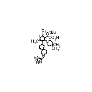 Cc1nc(C)c(C(OC(C)(C)C)C(=O)O)c(N2CCC(C)(C)CC2)c1-c1ccc2c(c1)CCN(Cc1nnn[nH]1)C2